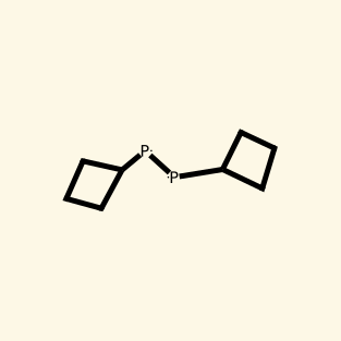 C1CC([P][P]C2CCC2)C1